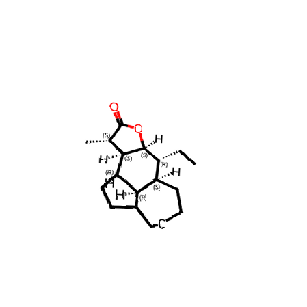 CC[C@@H]1[C@H]2CCCCC3CC[C@H]([C@H]32)[C@@H]2[C@H]1OC(=O)[C@H]2C